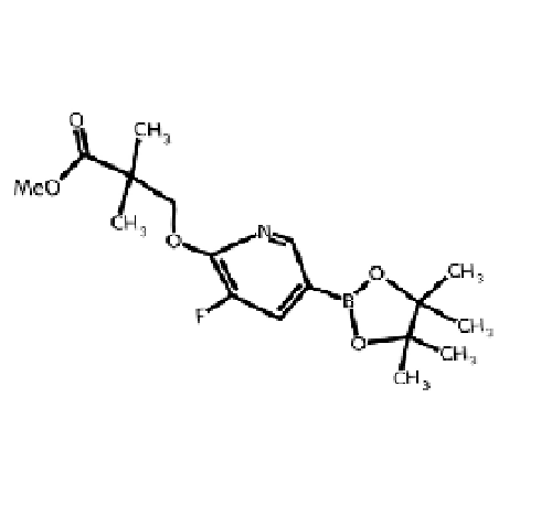 COC(=O)C(C)(C)COc1ncc(B2OC(C)(C)C(C)(C)O2)cc1F